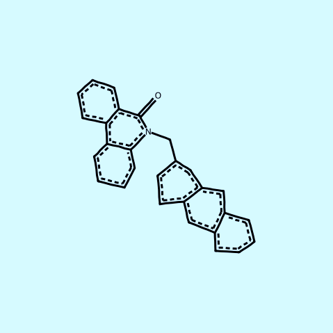 O=c1c2ccccc2c2ccccc2n1Cc1ccc2cc3ccccc3cc2c1